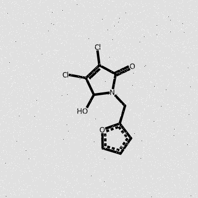 O=C1C(Cl)=C(Cl)C(O)N1Cc1ccco1